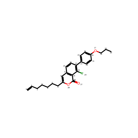 C=CCCCCCc1cc2ccc(-c3ccc(OCCC)cc3)c(F)c2c(=O)o1